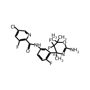 CC1(C)OC(N)=N[C@](C)(c2cc(NC(=O)c3ncc(Cl)cc3F)ccc2F)C1(F)F